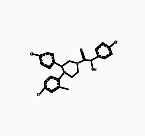 Cc1cc(Cl)ccc1N1CCN(C(=O)C(O)c2ccc(Cl)cc2)CC1c1ccc(Cl)cc1